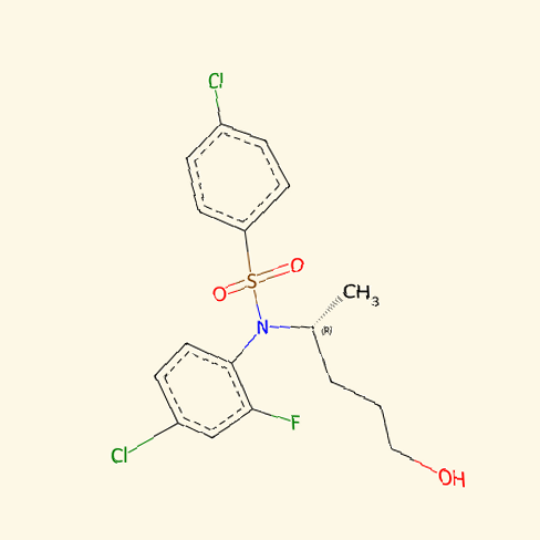 C[C@H](CCCO)N(c1ccc(Cl)cc1F)S(=O)(=O)c1ccc(Cl)cc1